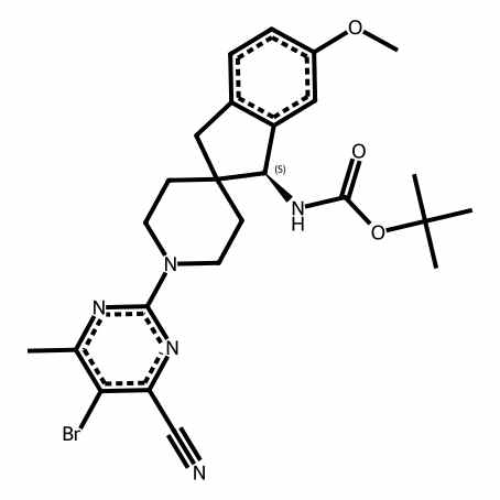 COc1ccc2c(c1)[C@@H](NC(=O)OC(C)(C)C)C1(CCN(c3nc(C)c(Br)c(C#N)n3)CC1)C2